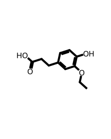 CCOc1cc(CCC(=O)O)ccc1O